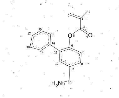 C=C(C)C(=O)Oc1ccc(CN)cc1-c1ccccc1